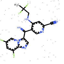 CC(F)(F)CNc1cc(C#N)ncc1C(=N)c1cnc2c(F)cc(F)cn12